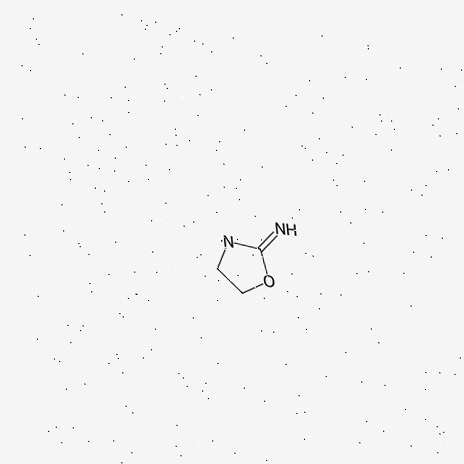 N=C1[N]CCO1